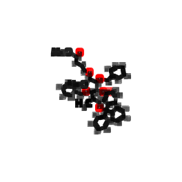 COC(=O)CCCOC(OC)C(OCc1ccccc1)C(O)C(OCc1ccccc1)C(C)COC(c1ccccc1)(c1ccccc1)c1ccccc1